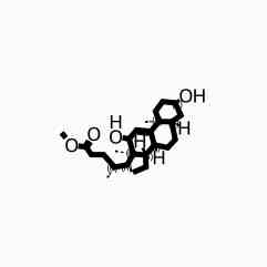 COC(=O)CC[C@@H](C)[C@H]1CC[C@H]2[C@@H]3CC[C@@H]4C[C@H](O)CC[C@]4(C)C3=CC(O)[C@]12C